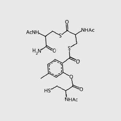 CC(=O)NC(CSC(=O)C(CSC(=O)c1ccc(C)cc1OC(=O)C(CS)NC(C)=O)NC(C)=O)C(N)=O